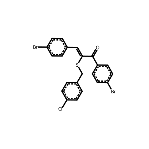 O=C(C(=Cc1ccc(Br)cc1)SCc1ccc(Cl)cc1)c1ccc(Br)cc1